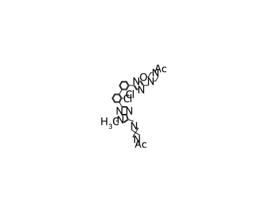 CC(=O)N1CCN2Cc3ncc(-c4cccc(-c5cccc(-c6cnc7c(CN8CC9(C8)CN(C(C)=O)C9)cn(C)c7n6)c5Cl)c4Cl)nc3OC2C1